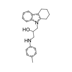 Cc1ccc(NCC(O)Cn2c3c(c4ccccc42)CCCC3)cc1